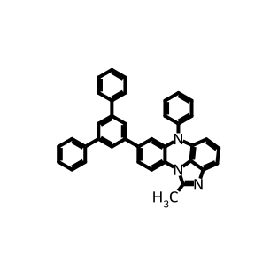 Cc1nc2cccc3c2n1-c1ccc(-c2cc(-c4ccccc4)cc(-c4ccccc4)c2)cc1N3c1ccccc1